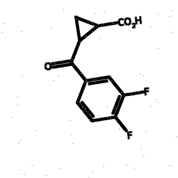 O=C(O)C1CC1C(=O)c1ccc(F)c(F)c1